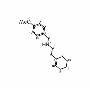 COc1ccc(CNCCC2=CCCCC2)cc1